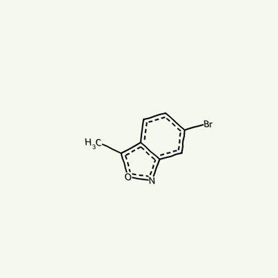 Cc1onc2cc(Br)ccc12